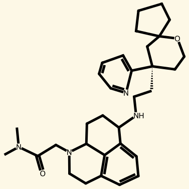 CN(C)C(=O)CN1CCc2cccc3c2C1CCC3NCC[C@@]1(c2ccccn2)CCOC2(CCCC2)C1